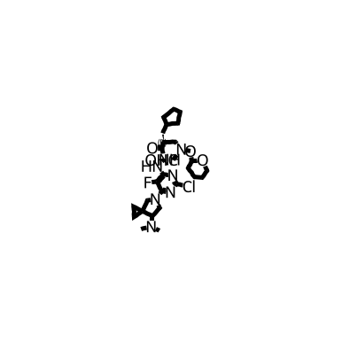 CN(C)C1CN(c2nc(Cl)nc(NNC(=O)[C@H](CC3CCCC3)CN(C=O)OC3CCCCO3)c2F)CC12CC2